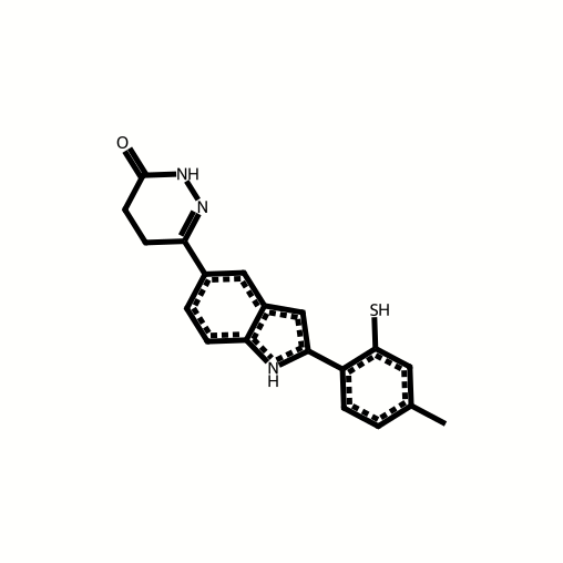 Cc1ccc(-c2cc3cc(C4=NNC(=O)CC4)ccc3[nH]2)c(S)c1